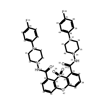 O=C(NN1CCN(c2ccc(F)cc2)CC1)c1cccc2c1S(=O)(=O)c1c(cccc1C(=O)NN1CCN(c3ccc(F)cc3)CC1)O2